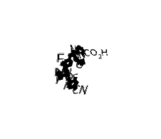 N#Cc1cnc(COc2nc(-c3ccc(Cc4nc5ccc(C(=O)O)nc5n4CC4CCO4)c(F)c3)ncc2F)c(F)c1